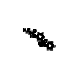 C=CC(=O)Nc1cccc(S(=O)(=O)Nc2ccccc2)c1